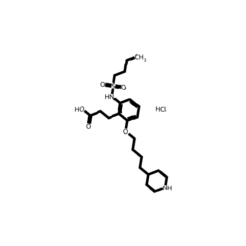 CCCCS(=O)(=O)Nc1cccc(OCCCCC2CCNCC2)c1CCC(=O)O.Cl